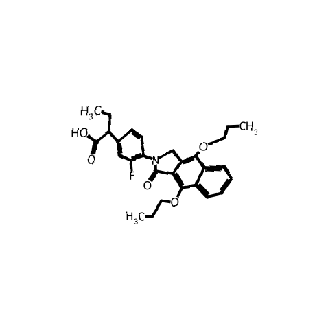 CCCOc1c2c(c(OCCC)c3ccccc13)C(=O)N(c1ccc(C(CC)C(=O)O)cc1F)C2